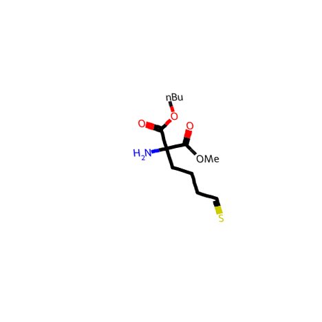 CCCCOC(=O)C(N)(CCCC=S)C(=O)OC